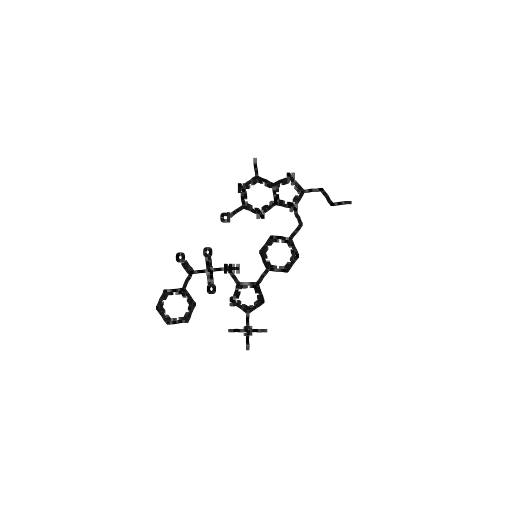 CCCc1nc2c(C)nc(Cl)nc2n1Cc1ccc(-c2cc([Si](C)(C)C)sc2NS(=O)(=O)C(=O)c2ccccc2)cc1